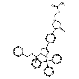 CC(=O)NC[C@H]1CN(c2ccc(C3=C[C@@H](C(c4ccccc4)(c4ccccc4)c4ccccc4)N(C(=O)OCc4ccccc4)C3)cc2)C(=O)O1